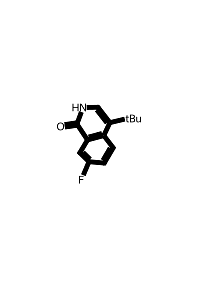 CC(C)(C)c1c[nH]c(=O)c2cc(F)ccc12